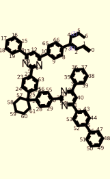 C=C/C=C(\C=C/C)c1ccc(-c2cc(-c3ccccc3)nc(-c3ccc(C4(c5ccc(-c6nc(-c7ccccc7)cc(-c7ccc(-c8ccccc8)cc7)n6)cc5)CCCCC4)cc3)n2)cc1